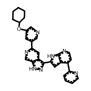 c1ccc(-c2ccnc3[nH]c(-c4n[nH]c5cnc(-c6cncc(OC7CCCCC7)c6)cc45)cc23)nc1